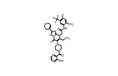 CCc1c(N2CCN(C(=O)c3ncccc3O)CC2)c(=O)n2nc(C3=CCOCC3)nc2n1CC(=O)Nc1cc(C(F)(F)F)c(Cl)cc1C